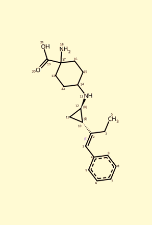 CC/C(=C\c1ccccc1)[C@@H]1C[C@H]1NC1CCC(N)(C(=O)O)CC1